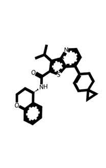 CC(C)c1c(C(=O)N[C@H]2CCOc3ccccc32)sc2c(C3=CCC4(CC3)CC4)ccnc12